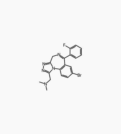 CN(C)Cc1nnc2n1-c1ccc(Br)cc1C(c1ccccc1F)=NC2